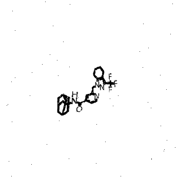 O=C(NC12CC3CC(CC(C3)C1)C2)c1ccnc(Cn2nc(C(F)(F)F)c3c2CCCC3)c1